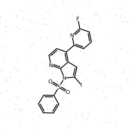 O=S(=O)(c1ccccc1)n1c(I)cc2c(-c3cccc(F)n3)ccnc21